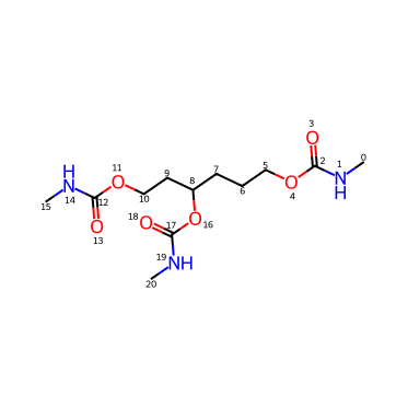 CNC(=O)OCCCC(CCOC(=O)NC)OC(=O)NC